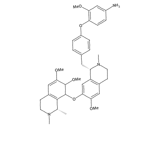 COC1=CC2=C(C(Oc3cc4c(cc3OC)CCN(C)[C@H]4Cc3ccc(Oc4ccc(N)cc4OC)cc3)C1OC)[C@H](C)N(C)CC2